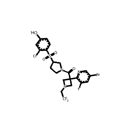 O=C(N1CCC(S(=O)(=O)c2ccc(O)cc2Cl)C1)C1(c2ncc(Br)cc2F)CN(CC(F)(F)F)C1